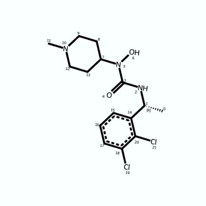 C[C@@H](NC(=O)N(O)C1CCN(C)CC1)c1cccc(Cl)c1Cl